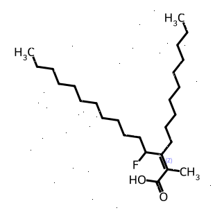 CCCCCCCCCCCC(F)/C(CCCCCCCCCC)=C(/C)C(=O)O